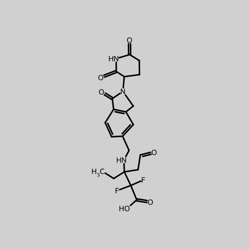 CCC(CC=O)(NCc1ccc2c(c1)CN(C1CCC(=O)NC1=O)C2=O)C(F)(F)C(=O)O